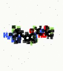 CCC(O)(C(=O)N1C[C@H](F)[C@H](NC(=O)c2cc(-c3cc(C(F)(F)F)c4c(N)ncnn34)ccc2C(F)(F)F)C1)C(F)(F)F